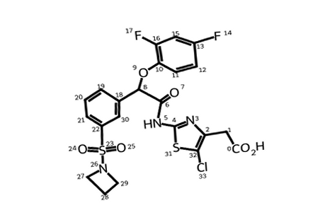 O=C(O)Cc1nc(NC(=O)C(Oc2ccc(F)cc2F)c2cccc(S(=O)(=O)N3CCC3)c2)sc1Cl